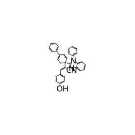 N#C/C(=C\c1ccc(O)cc1)C1(c2nc3ccccc3n2-c2ccccc2)C=CC(c2ccccc2)=CC1